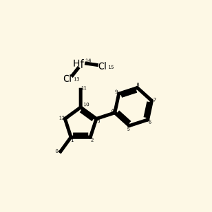 CC1=CC(c2ccccc2)=C(C)[CH]1.[Cl][Hf][Cl]